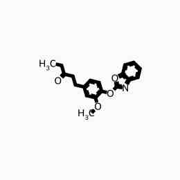 CCC(=O)CCc1ccc(Oc2nc3ccccc3o2)c(OC)c1